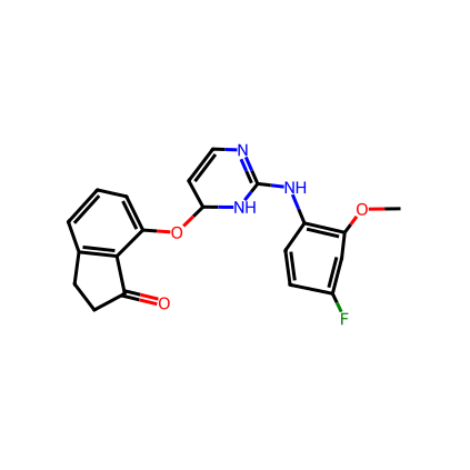 COc1cc(F)ccc1NC1=NC=CC(Oc2cccc3c2C(=O)CC3)N1